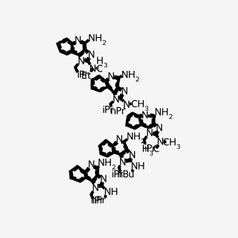 CC(C)Cn1c(N(C)C)nc2c(N)nc3ccccc3c21.CCCCNc1nc2c(N)nc3ccccc3c2n1CC(C)C.CCCN(C)c1nc2c(N)nc3ccccc3c2n1CC(C)C.CCCNc1nc2c(N)nc3ccccc3c2n1CC(C)C.CCN(C)c1nc2c(N)nc3ccccc3c2n1CC(C)C